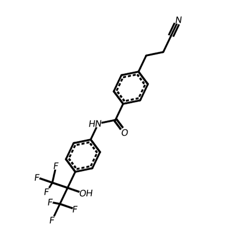 N#CCCc1ccc(C(=O)Nc2ccc(C(O)(C(F)(F)F)C(F)(F)F)cc2)cc1